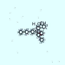 CC1(C)c2ccccc2-c2c1ccc(N(c1ccc(-c3ccccc3)cc1)c1ccc(-c3ccc(-c4ccccc4)cc3)cc1)c2-c1ccccc1